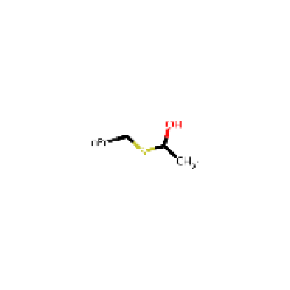 [CH2]CCCSC([CH2])O